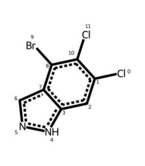 Clc1cc2[nH]ncc2c(Br)c1Cl